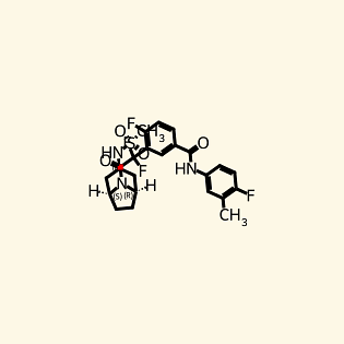 Cc1cc(NC(=O)c2ccc(F)c(C(F)(F)C(=O)N3[C@@H]4CC[C@H]3C[C@@H](NS(C)(=O)=O)C4)c2)ccc1F